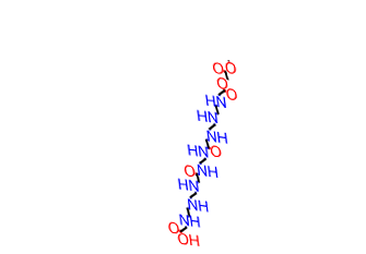 COC(=O)COC(=O)CNCCNCCNCC(=O)NCCNC(=O)CNCCNCCNCC(=O)O